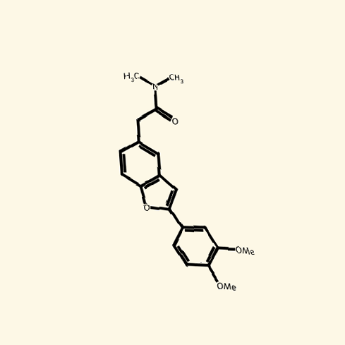 COc1ccc(-c2cc3cc(CC(=O)N(C)C)ccc3o2)cc1OC